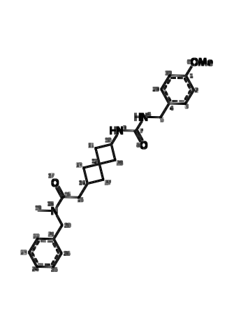 COc1ccc(CNC(=O)NC2CC3(CC(CC(=O)N(C)Cc4ccccc4)C3)C2)cc1